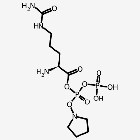 NC(=O)NCCC[C@H](N)C(=O)OP(=O)(ON1CCCC1)OP(=O)(O)O